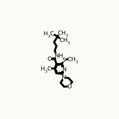 CSc1nc(N2CCOCC2)cc(C)c1C(=O)NCCCC(C)(C)C